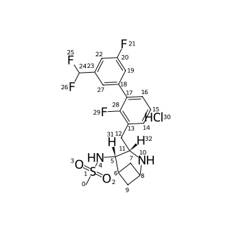 CS(=O)(=O)N[C@H]1C2CC(C2)N[C@H]1Cc1cccc(-c2cc(F)cc(C(F)F)c2)c1F.Cl